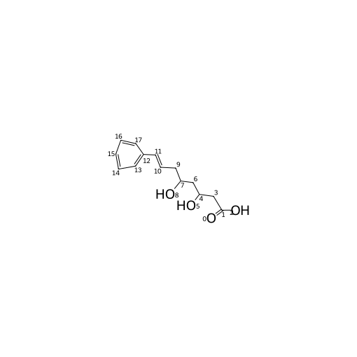 O=C(O)CC(O)CC(O)CC=Cc1ccccc1